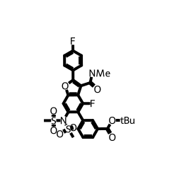 CNC(=O)c1c(-c2ccc(F)cc2)oc2cc(N(S(C)(=O)=O)S(C)(=O)=O)c(-c3cccc(C(=O)OC(C)(C)C)c3)c(F)c12